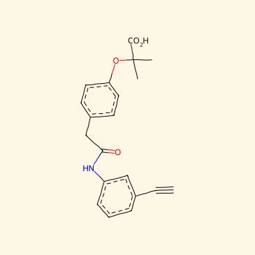 C#Cc1cccc(NC(=O)Cc2ccc(OC(C)(C)C(=O)O)cc2)c1